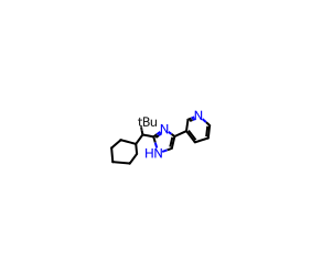 CC(C)(C)C(c1nc(-c2cccnc2)c[nH]1)C1CCCCC1